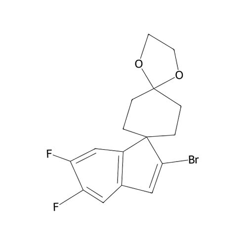 Fc1cc2c(cc1F)C1(CCC3(CC1)OCCO3)C(Br)=C2